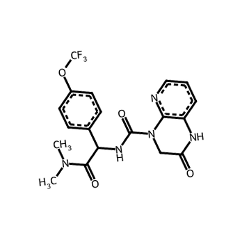 CN(C)C(=O)C(NC(=O)N1CC(=O)Nc2cccnc21)c1ccc(OC(F)(F)F)cc1